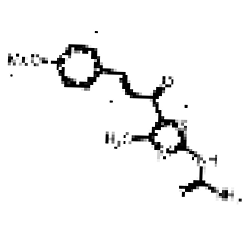 COc1ccc(C=CC(=O)c2sc(NC(N)=S)nc2C)cc1